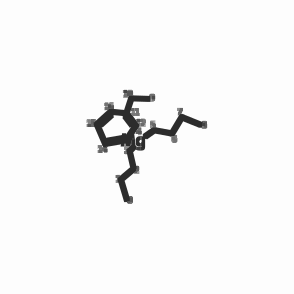 CCC[CH2][Mg][CH2]CCC.CCc1ccccc1